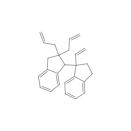 C=CCC1(CC=C)Cc2ccccc2C1C1(C=C)CCc2ccccc21